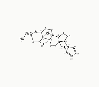 CC12CC[C@@H]3C(CCC4=C/C(=N/O)CCC43C)C1CCC2n1ccnc1